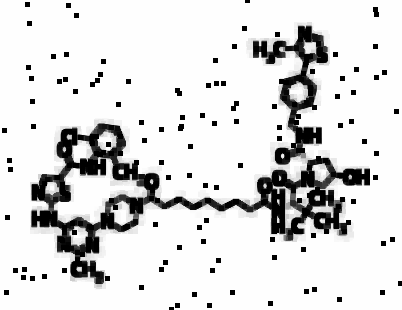 Cc1nc(Nc2ncc(C(=O)Nc3c(C)cccc3Cl)s2)cc(N2CCN(C(=O)CCCCCCCC(=O)N[C@H](C(=O)N3C[C@H](O)C[C@H]3C(=O)NCc3ccc(-c4scnc4C)cc3)C(C)(C)C)CC2)n1